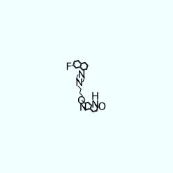 O=c1ccc2cnc(OCCCCN3CCN(c4cccc5ccc(F)cc45)CC3)cc2[nH]1